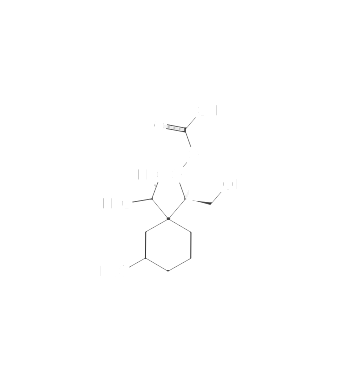 CC(=O)OO[C@@H](CO)C1(C(C)C)CCCC(C)C1